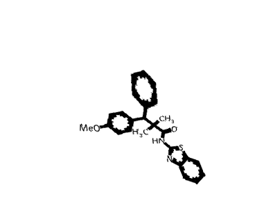 COc1ccc(C(c2ccccc2)C(C)(C)C(=O)Nc2nc3ccccc3s2)cc1